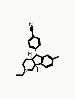 CCN1CC[C@H]2[C@H](c3ccc(C#N)cc3)c3cc(C)ccc3[C@H]2C1